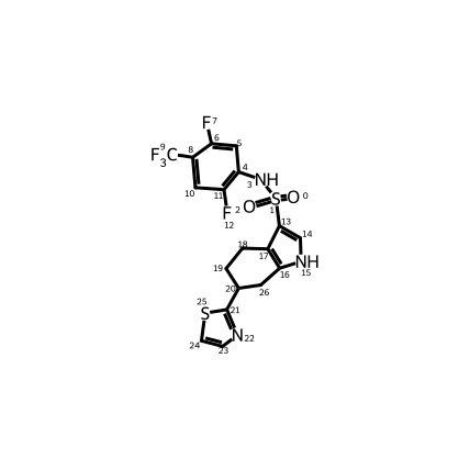 O=S(=O)(Nc1cc(F)c(C(F)(F)F)cc1F)c1c[nH]c2c1CCC(c1nccs1)C2